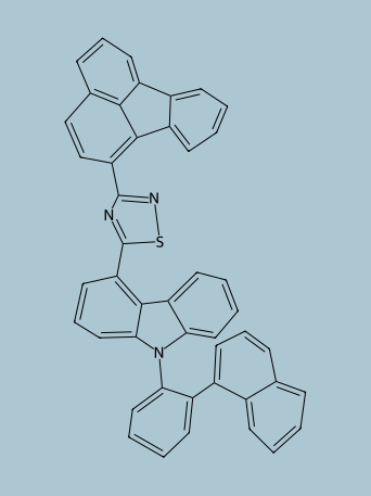 c1ccc2c(c1)-c1cccc3ccc(-c4nsc(-c5cccc6c5c5ccccc5n6-c5ccccc5-c5cccc6ccccc56)n4)c-2c13